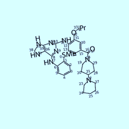 CSc1ccccc1Nc1nc(Nc2ccc(C(=O)N3CCC(N4CCCCC4)CC3)cc2OC(C)C)nc2c1NCN2